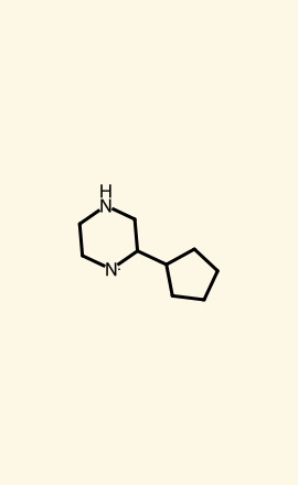 C1CCC(C2CNCC[N]2)C1